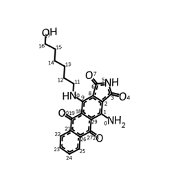 Nc1c2c(=O)[nH]c(=O)c2c(NCCCCCCO)c2c(=O)c3ccccc3c(=O)c12